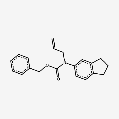 C=CCN(C(=O)OCc1ccccc1)c1ccc2c(c1)CCC2